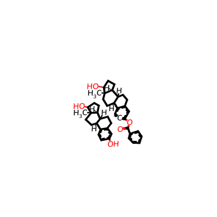 C[C@]12CC[C@@H]3c4ccc(O)cc4CC[C@H]3[C@@H]1CC[C@@H]2O.C[C@]12CC[C@@H]3c4ccc(OC(=O)c5ccccc5)cc4CC[C@H]3[C@@H]1CC[C@@H]2O